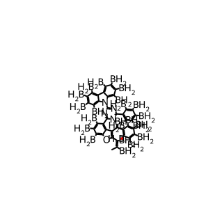 B=C(c1c(B)c(B)c(B)c(B)c1B)c1c(/C(B)=C(/B)C)oc2c(B)c(B)c(B)c(-c3nc(-c4c(B)c(B)c(B)c(B)c4B)nc(-n4c5c(B)c(B)c(B)c(B)c5c5c(B)c(B)c(B)c(B)c54)n3)c12